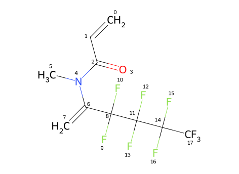 C=CC(=O)N(C)C(=C)C(F)(F)C(F)(F)C(F)(F)C(F)(F)F